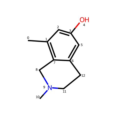 Cc1cc(O)cc2c1CN(C)CC2